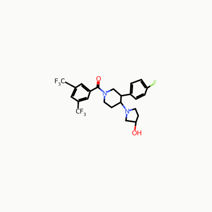 O=C(c1cc(C(F)(F)F)cc(C(F)(F)F)c1)N1CCC(N2CCC(O)C2)C(c2ccc(F)cc2)C1